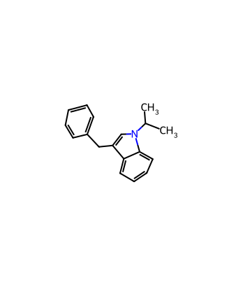 CC(C)n1cc(Cc2ccccc2)c2ccccc21